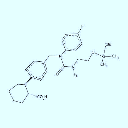 CCN(CCO[Si](C)(C)C(C)(C)C)C(=O)N(Cc1ccc([C@@H]2CCCC[C@H]2C(=O)O)cc1)c1ccc(F)cc1